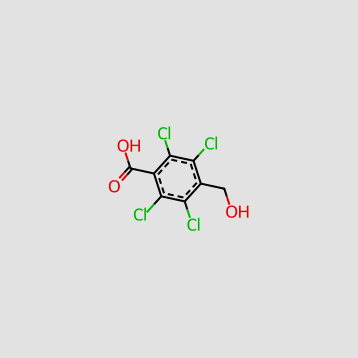 O=C(O)c1c(Cl)c(Cl)c(CO)c(Cl)c1Cl